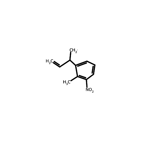 [CH2]C(C=C)c1cccc([N+](=O)[O-])c1C